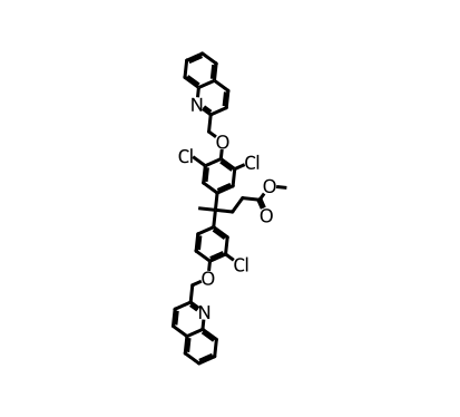 COC(=O)CCC(C)(c1ccc(OCc2ccc3ccccc3n2)c(Cl)c1)c1cc(Cl)c(OCc2ccc3ccccc3n2)c(Cl)c1